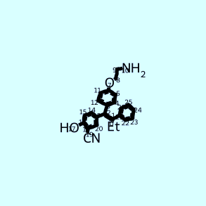 CC/C(=C(/c1ccc(OCCN)cc1)c1ccc(O)c(C#N)c1)c1ccccc1